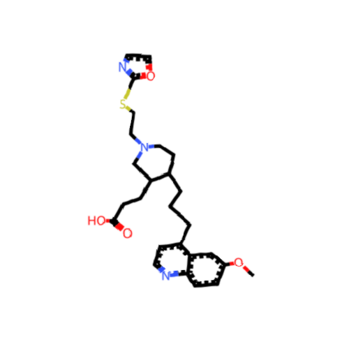 COc1ccc2nccc(CCCC3CCN(CCSc4ncco4)CC3CCC(=O)O)c2c1